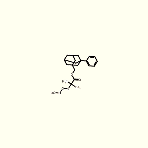 CC(C)(SOOO)C(=O)OCC12CC3CC(C1)CC(c1ccccc1)(C3)C2